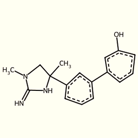 CN1CC(C)(c2cccc(-c3cccc(O)c3)c2)NC1=N